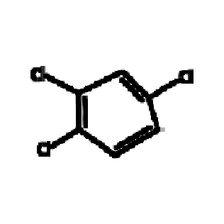 Clc1[c]cc(Cl)c(Cl)c1